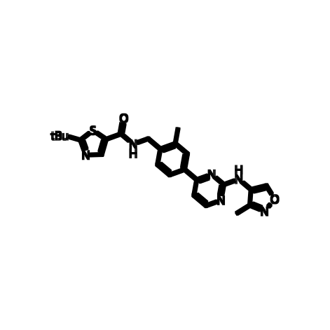 Cc1cc(-c2ccnc(Nc3conc3C)n2)ccc1CNC(=O)c1cnc(C(C)(C)C)s1